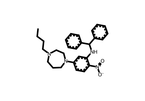 CCCCN1CCCN(c2ccc([N+](=O)[O-])c(NC(c3ccccc3)c3ccccc3)c2)CC1